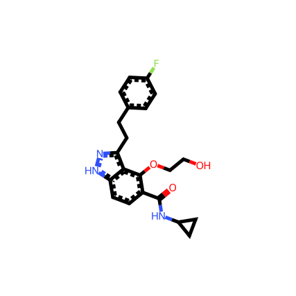 O=C(NC1CC1)c1ccc2[nH]nc(CCc3ccc(F)cc3)c2c1OCCO